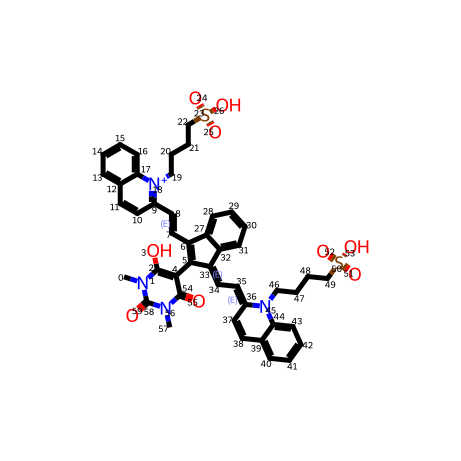 Cn1c(O)c(C2=C(/C=C/c3ccc4ccccc4[n+]3CCCCS(=O)(=O)O)c3ccccc3/C2=C\C=C2/C=Cc3ccccc3N2CCCCS(=O)(=O)O)c(=O)n(C)c1=O